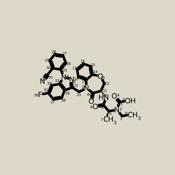 CCN(C(=O)O)[C@@H](C)C(=O)N[C@H]1COc2ccccc2N(Cc2nn(-c3ccccc3C#N)c3cc(F)ccc23)C1=O